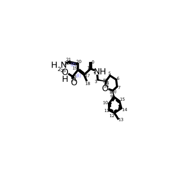 C=C(NC[C@H]1CCC[C@@H](c2ccc(C)cc2)O1)/C(C)=C(\C=C/N)C(=O)O